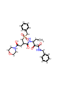 CCC(NC(=O)C(CC(=O)N1CCOCC1)CS(=O)(=O)Cc1ccccc1)C(=O)C(=O)NCc1ccccc1